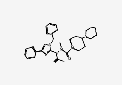 C=C(C)[C@H](c1nc(-c2ccccc2)cn1Cc1ccccc1)N(C)C(=O)N1CCC(N2CCCCC2)CC1